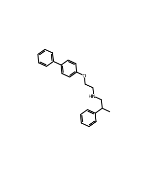 CC(CNCCOc1ccc(-c2ccccc2)cc1)c1ccccc1